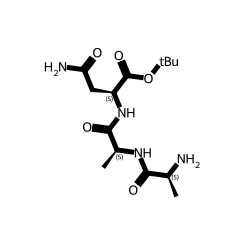 C[C@H](N)C(=O)N[C@@H](C)C(=O)N[C@@H](CC(N)=O)C(=O)OC(C)(C)C